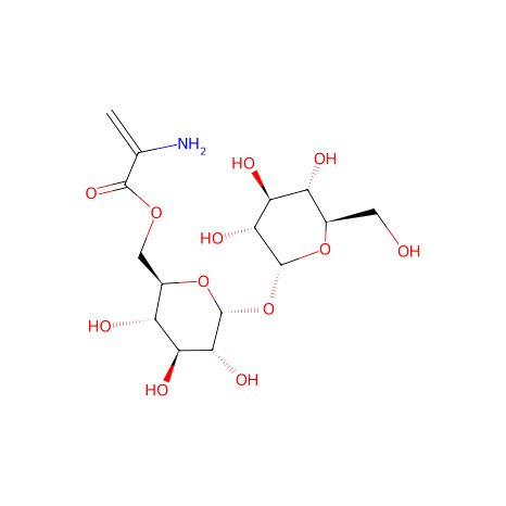 C=C(N)C(=O)OC[C@H]1O[C@H](O[C@H]2O[C@H](CO)[C@@H](O)[C@H](O)[C@H]2O)[C@H](O)[C@@H](O)[C@@H]1O